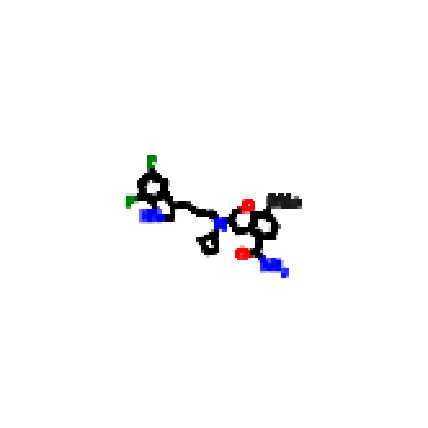 COc1ccc(C(N)=O)c2c1OCC(N(CCCC1CNc3c(F)cc(F)cc31)C1CCC1)C2